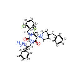 Cc1c(N2CCC(Cc3ccccc3)CC2)c(=O)n(C[C@H](N)c2ccccc2)c(=O)n1Cc1c(F)cccc1F